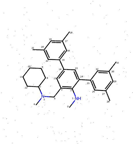 CNc1c(CN(C)C2CCCCC2)cc(-c2cc(C)cc(C)c2)cc1-c1cc(C)cc(C)c1